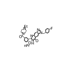 CCCOc1ccc(C(=O)N2CCN(CC)CC2)cc1-c1nc2cc3ncn(Cc4ccc(F)cc4)c3cc2c(=O)[nH]1